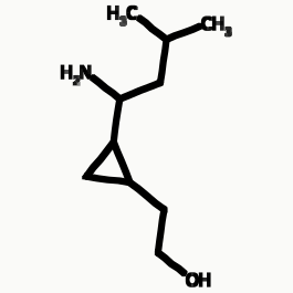 CC(C)CC(N)C1CC1CCO